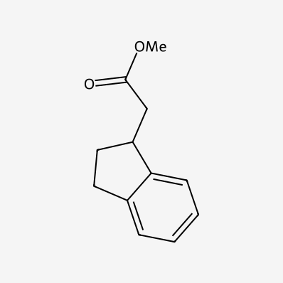 COC(=O)CC1CCc2ccccc21